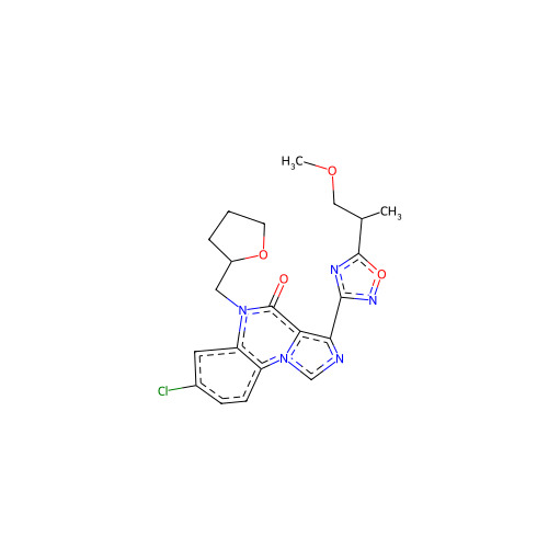 COCC(C)c1nc(-c2ncn3c2c(=O)n(CC2CCCO2)c2cc(Cl)ccc23)no1